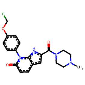 CN1CCN(C(=O)c2cc3ccc(=O)n(-c4ccc(OCF)cc4)c3[nH]2)CC1